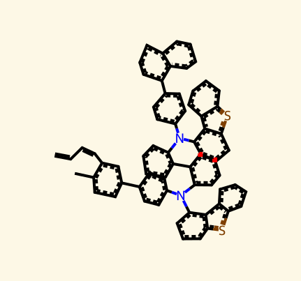 C=C/C=C\c1cc(-c2ccc(N(c3ccccc3-c3ccccc3N(c3ccc(-c4cccc5ccccc45)cc3)c3cccc4sc5ccccc5c34)c3cccc4sc5ccccc5c34)cc2)ccc1C